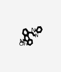 O/N=C1\c2ccccc2-c2c1cccc2-c1cnc2ccccc2n1